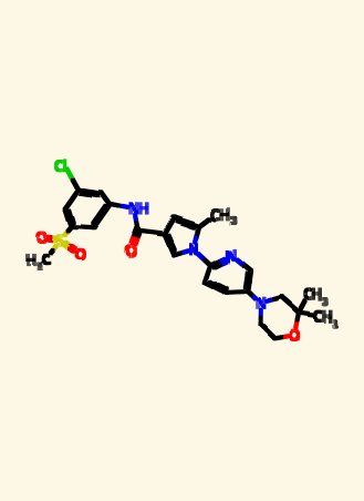 Cc1cc(C(=O)Nc2cc(Cl)cc(S(C)(=O)=O)c2)cn1-c1ccc(N2CCOC(C)(C)C2)cn1